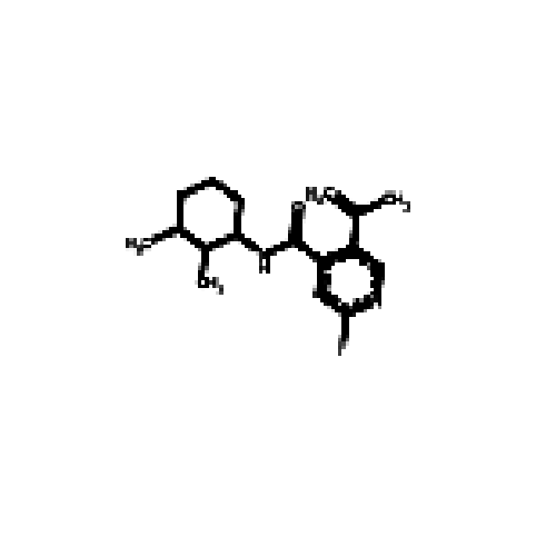 C=C(C)c1cnc(F)cc1C(=O)NC1CCCC(C)C1C